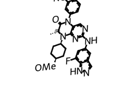 CO[C@H]1CC[C@@H](N2c3nc(Nc4cc(F)c5[nH]ncc5c4)ncc3N(c3cccc(C#N)c3)C(=O)[C@H]2C)CC1